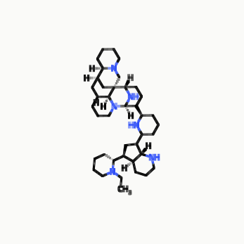 CCN1CCCC[C@@H]1[C@H]1CC(C2CCC[C@H](C3CC[C@@H]4N[C@@H]3N3CCC[C@H]5C[C@@H]6C[C@]4(CN4CCCC[C@H]64)[C@H]53)N2)[C@@H]2NCCC[C@@H]12